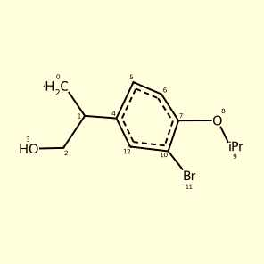 [CH2]C(CO)c1ccc(OC(C)C)c(Br)c1